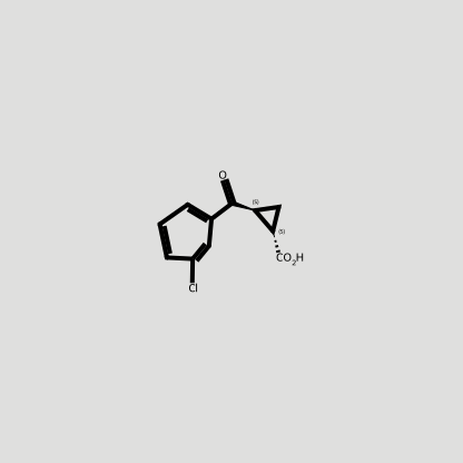 O=C(O)[C@H]1C[C@@H]1C(=O)c1cccc(Cl)c1